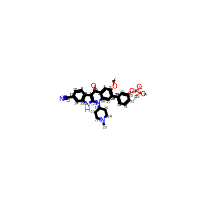 COc1cc2c(=O)c3c4ccc(C#N)cc4[nH]c3n(C3CCN(C)CC3)c2cc1-c1cccc(OS(=O)(=O)F)c1